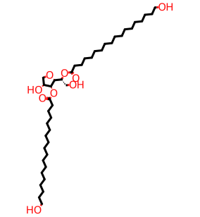 O=C(CCCCCCCCCCCCCCCCCO)O[C@H]1[C@@H]([C@@H](CO)OC(=O)CCCCCCCCCCCCCCCCCO)OC[C@@H]1O